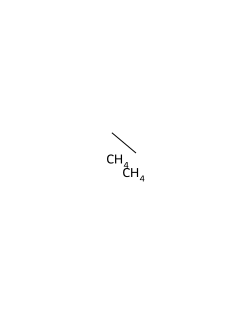 C.C.CC